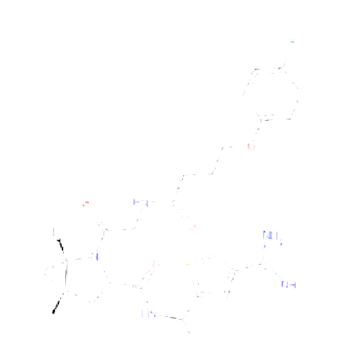 CC(NC(=O)[C@@H]1C[C@]2(C)C[C@@H]2N1C(=O)CNC(=O)CCCOc1ccc(F)cc1)c1cc(C(=N)N)cs1